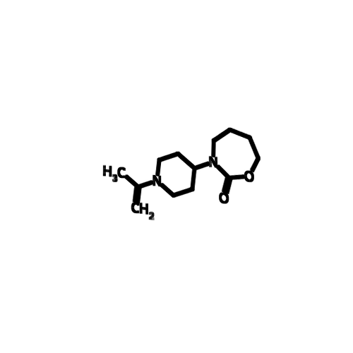 C=C(C)N1CCC(N2CCCCOC2=O)CC1